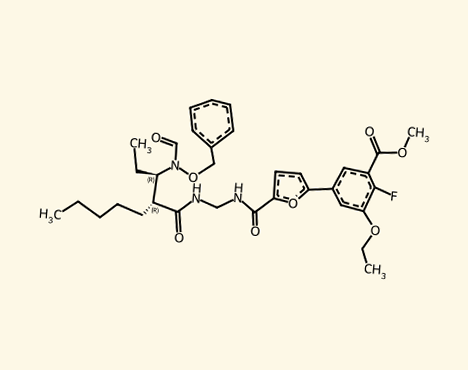 CCCCC[C@@H](C(=O)NCNC(=O)c1ccc(-c2cc(OCC)c(F)c(C(=O)OC)c2)o1)[C@@H](CC)N(C=O)OCc1ccccc1